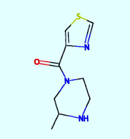 CC1CN(C(=O)c2cscn2)CCN1